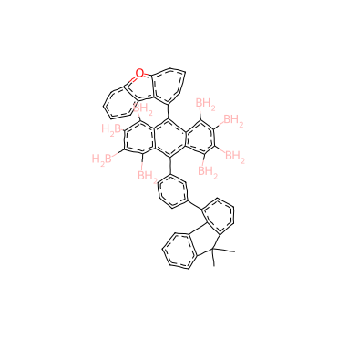 Bc1c(B)c(B)c2c(-c3cccc4oc5ccccc5c34)c3c(B)c(B)c(B)c(B)c3c(-c3cccc(-c4cccc5c4-c4ccccc4C5(C)C)c3)c2c1B